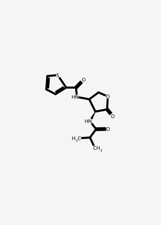 CC(C)C(=O)N[C@@H]1C(=O)OCC1NC(=O)c1cccs1